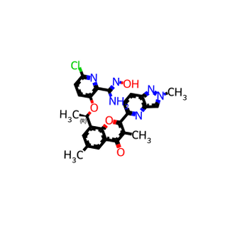 Cc1cc([C@@H](C)Oc2ccc(Cl)nc2C(N)=NO)c2oc(-c3ccc4nn(C)cc4n3)c(C)c(=O)c2c1